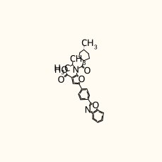 CC(C)N(c1oc(-c2ccc(-c3nc4ccccc4o3)cc2)cc1C(=O)O)C(=O)[C@H]1CC[C@H](C)CC1